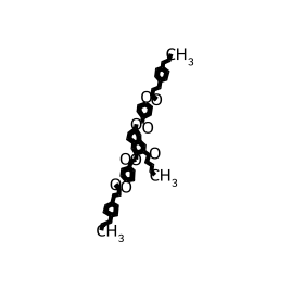 CCCCC(=O)c1cc2cc(OC(=O)c3ccc(OC(=O)CCc4ccc(CCC)cc4)cc3)ccc2cc1OC(=O)c1ccc(OC(=O)CCc2ccc(CCC)cc2)cc1